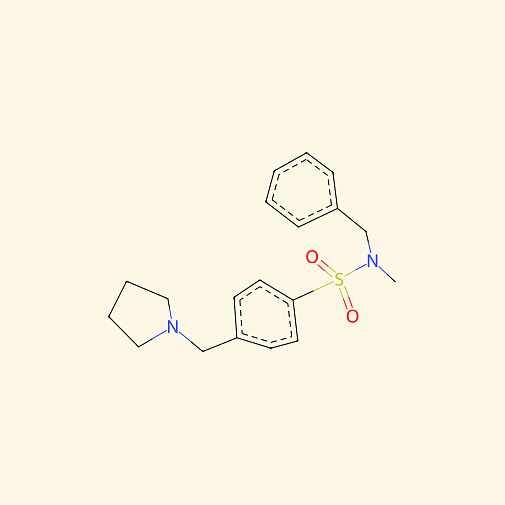 CN(Cc1ccccc1)S(=O)(=O)c1ccc(CN2CCCC2)cc1